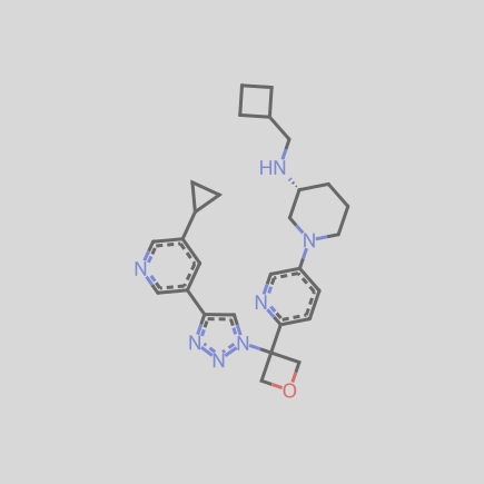 c1ncc(C2CC2)cc1-c1cn(C2(c3ccc(N4CCC[C@@H](NCC5CCC5)C4)cn3)COC2)nn1